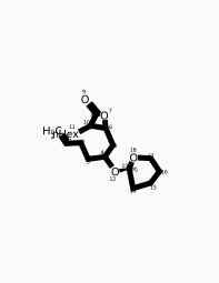 C=CCCC(CC1OC(=O)C1CCCCCC)O[C@@H]1CCCCO1